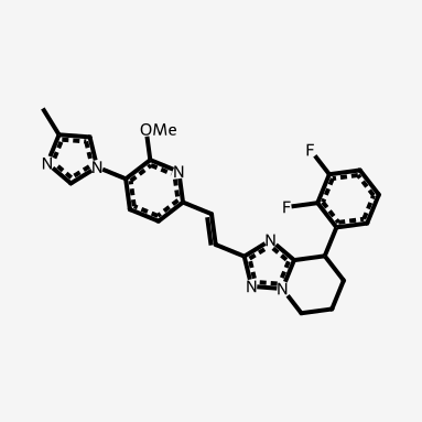 COc1nc(C=Cc2nc3n(n2)CCCC3c2cccc(F)c2F)ccc1-n1cnc(C)c1